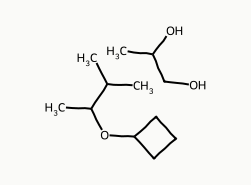 CC(C)C(C)OC1CCC1.CC(O)CO